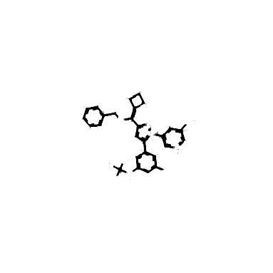 Fc1cc(OC(F)(F)F)cc(-c2cc(C(OCc3ccccc3)=C3CCC3)nn2-c2cncc(F)c2)c1